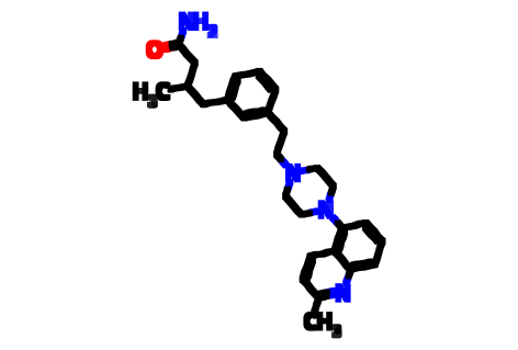 Cc1ccc2c(N3CCN(CCc4cccc(CC(C)CC(N)=O)c4)CC3)cccc2n1